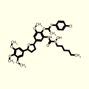 CCCCCCN(O)C(=O)Nc1cc(C2CCC(c3cc(OC)c(OC)c(OC)c3)O2)cc(OC)c1OC(C)Sc1ccc(Cl)cc1